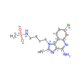 CCCc1nc2c(N)nc3cc(Br)ccc3c2n1CCCCNS(C)(=O)=O